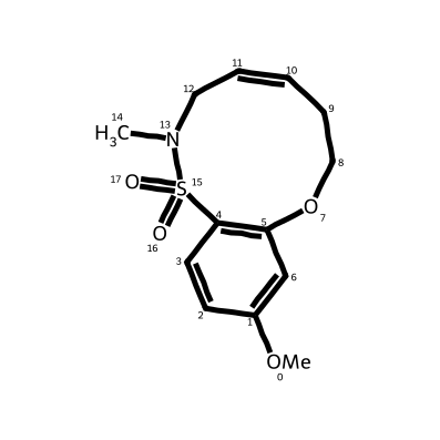 COc1ccc2c(c1)OCC/C=C\CN(C)S2(=O)=O